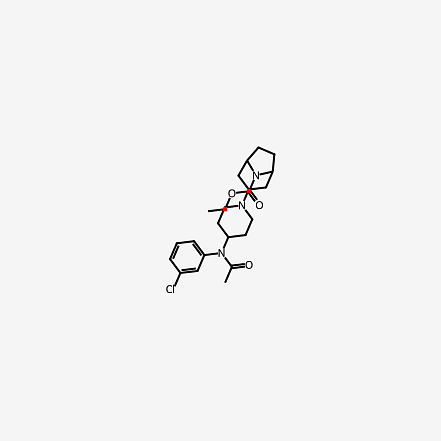 CCOC(=O)N1C2CCC1CC(N1CCC(N(C(C)=O)c3cccc(Cl)c3)CC1)C2